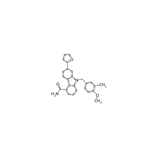 COc1ccc(Cn2c3cc(-c4ccco4)c[c]c3c3c(C(N)=O)cccc32)cc1C